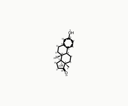 C[C@]12CCC3c4ccc(O)cc4CC[C@H]3[C@@H]1CCC2=O